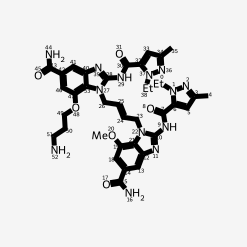 CCn1nc(C)cc1C(=O)Nc1nc2cc(C(N)=O)cc(OC)c2n1CC=CCn1c(NC(=O)c2cc(C)nn2CC)nc2cc(C(N)=O)cc(OCCCN)c21